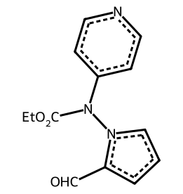 CCOC(=O)N(c1ccncc1)n1cccc1C=O